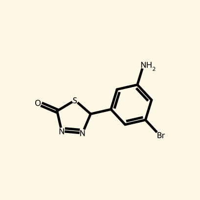 Nc1cc(Br)cc(C2N=NC(=O)S2)c1